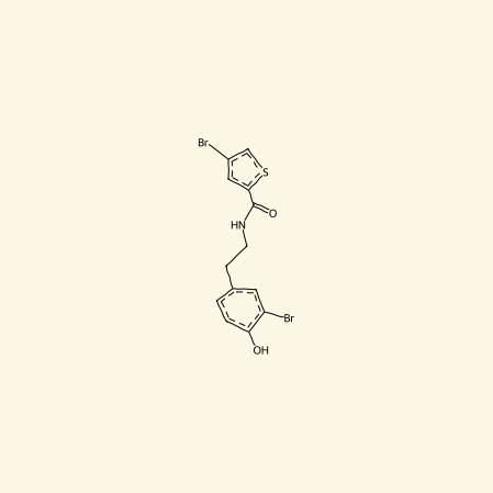 O=C(NCCc1ccc(O)c(Br)c1)c1cc(Br)cs1